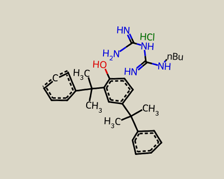 CC(C)(c1ccccc1)c1ccc(O)c(C(C)(C)c2ccccc2)c1.CCCCNC(=N)NC(=N)N.Cl